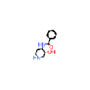 O=C(N[C@@H]1CCNC[C@@H]1O)c1ccccc1